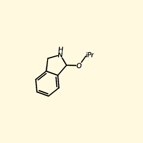 CC(C)OC1NCc2ccccc21